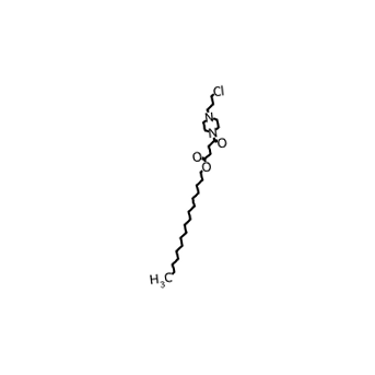 CCCCCCCCCCCCCCCCCOC(=O)CCC(=O)N1CCN(CCCCl)CC1